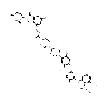 CCc1cc(Nc2ncc(Cl)c(Nc3cccc(OC)c3N(C)S(C)(=O)=O)n2)c(OC)cc1N1CCC(N2CCN(C(=O)CNc3cc(F)cc4c3CN(C3CCC(=O)NC3=O)C4=O)CC2)CC1